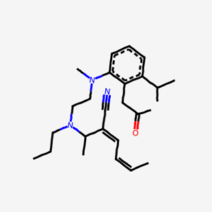 C/C=C\C=C(\C#N)C(C)N(CCC)CCN(C)c1cccc(C(C)C)c1CC(C)=O